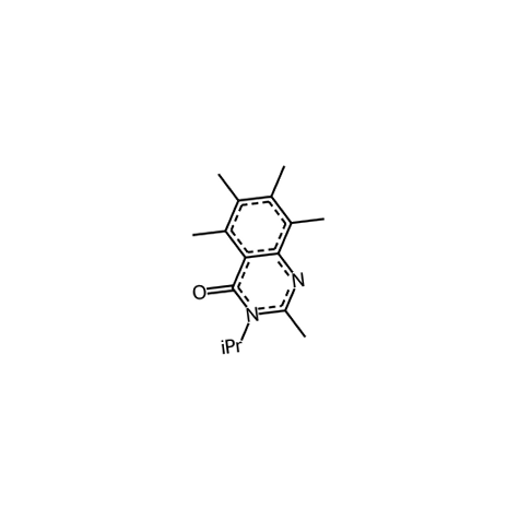 Cc1c(C)c(C)c2c(=O)n(C(C)C)c(C)nc2c1C